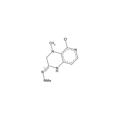 CN/N=C1/CN(C)c2c(ccnc2Cl)N1